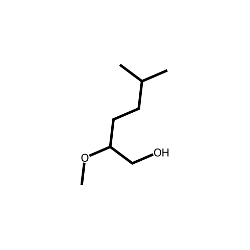 COC(CO)CCC(C)C